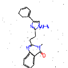 Cn1c(CCc2nc(C3=CC=CCC3)c[nH]2)nc2ccccc2c1=O